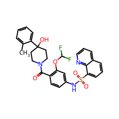 Cc1ccccc1C1(O)CCN(C(=O)c2ccc(NS(=O)(=O)c3cccc4cccnc34)cc2OC(F)F)CC1